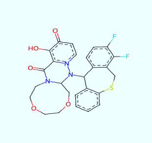 O=C1c2c(O)c(=O)ccn2N(C2c3ccccc3SCc3c2ccc(F)c3F)C2COCCOCCN12